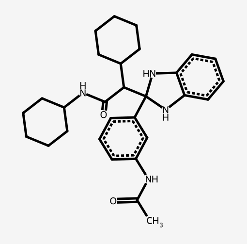 CC(=O)Nc1cccc(C2(C(C(=O)NC3CCCCC3)C3CCCCC3)Nc3ccccc3N2)c1